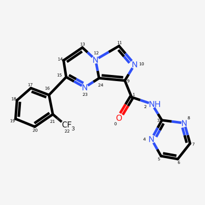 O=C(Nc1ncccn1)c1ncn2ccc(-c3ccccc3C(F)(F)F)nc12